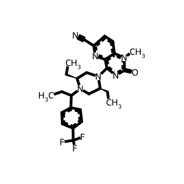 CCC(c1ccc(C(F)(F)F)cc1)N1C[C@H](CC)N(c2nc(=O)n(C)c3ccc(C#N)nc23)C[C@@H]1CC